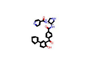 O=C(N[C@@H]1CNC[C@H]1NC(=O)c1ccc(C(=O)c2cc(-c3ccccc3)ccc2O)cc1)c1ccncc1